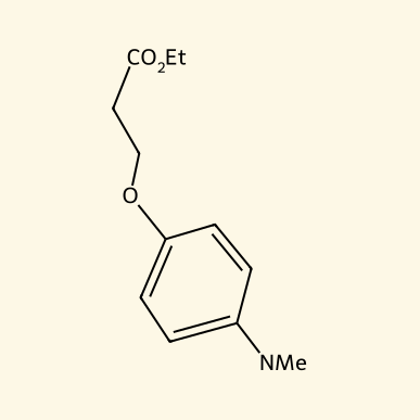 CCOC(=O)CCOc1ccc(NC)cc1